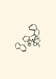 CN(C)P1(=O)[C@H](c2cccc3ccccc23)CC[C@H]1c1cccc2ccccc12